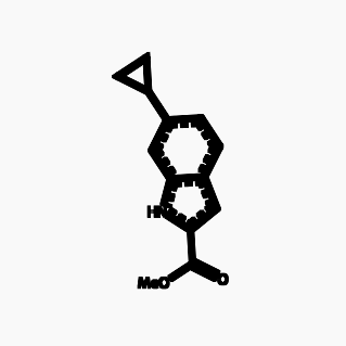 COC(=O)c1cc2ccc(C3CC3)cc2[nH]1